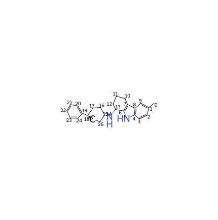 Cc1ccc2[nH]c3c(c2c1)CCCC3NC1CCC(c2ccccc2)CC1